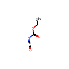 CCCCCOC(=O)N=C=O